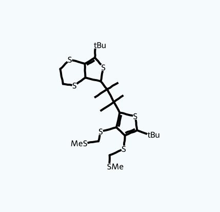 CSCSc1c(C(C)(C)C)sc(C(C)(C)C(C)(C)C2SC(C(C)(C)C)=C3SCCSC32)c1SCSC